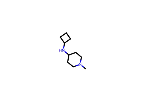 CN1CCC(NC2CCC2)CC1